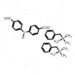 C[N+](C)(C)Cc1ccccc1.C[N+](C)(C)Cc1ccccc1.O=C([O-])c1ccc([S+]([O-])c2ccc(C(=O)[O-])cc2)cc1